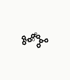 c1ccc(-c2cc(-c3ccccc3)cc(-c3ccc4oc5ccc6c7cc(-n8c9ccccc9c9ccccc98)ccc7oc6c5c4c3)c2)cc1